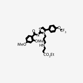 CCOC(=O)CCNCCCn1c(-c2ccc(OC(F)(F)F)cc2)cs/c1=N\C(=O)c1ccc(OC)cc1OC